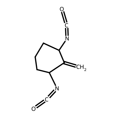 C=C1C(N=C=O)CCCC1N=C=O